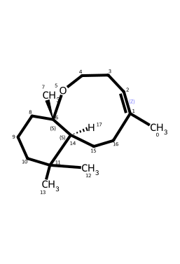 C/C1=C/CCO[C@@]2(C)CCCC(C)(C)[C@@H]2CC1